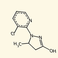 CC1CC(O)=NN1c1ncccc1Cl